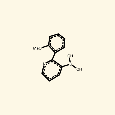 COc1ccccc1-c1ncccc1B(O)O